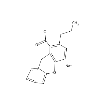 CCCc1ccc2c(c1C(=O)[O-])Cc1ccccc1O2.[Na+]